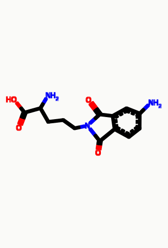 Nc1ccc2c(c1)C(=O)N(CCCC(N)C(=O)O)C2=O